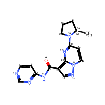 O=C(Nc1ccncn1)c1cnn2ccc(N3CCC[C@H]3C(F)(F)F)nc12